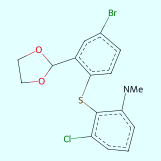 CNc1cccc(Cl)c1Sc1ccc(Br)cc1C1OCCO1